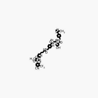 Cc1ncsc1-c1ccc(CNC(=O)[C@@H]2C[C@@H](O)CN2C(=O)[C@@H](NC(=O)c2ccc(CNC(=O)CCCc3ccc(N4C(=S)N(c5ccc(C#N)c(C(F)(F)F)c5F)C(=O)C4(C)C)cn3)cc2)C(C)C)cc1